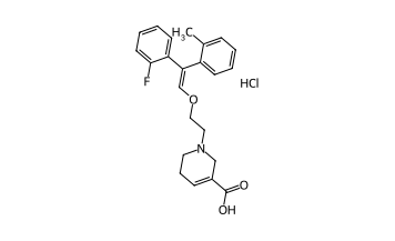 Cc1ccccc1/C(=C\OCCN1CCC=C(C(=O)O)C1)c1ccccc1F.Cl